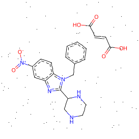 O=C(O)C=CC(=O)O.O=[N+]([O-])c1ccc2c(c1)nc(C1CNCCN1)n2Cc1ccccc1